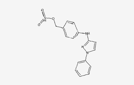 O=[SH](=O)OCc1ccc(Nc2ccn(-c3ccccc3)n2)cc1